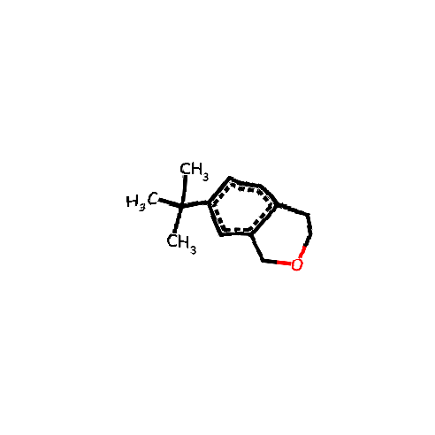 CC(C)(C)c1ccc2c(c1)COCC2